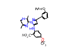 COc1cccc(-c2cc(Nc3ccc(OC(F)(F)F)cc3C(=O)O)n(-c3nc(C)cnc3C)n2)c1